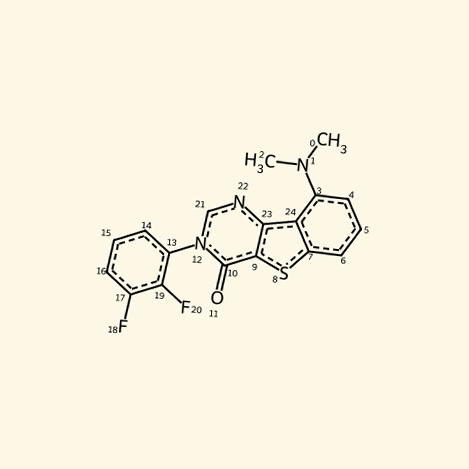 CN(C)c1cccc2sc3c(=O)n(-c4cccc(F)c4F)cnc3c12